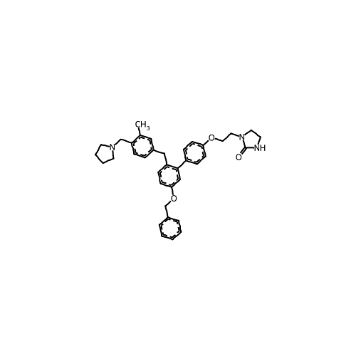 Cc1cc(Cc2ccc(OCc3ccccc3)cc2-c2ccc(OCCN3CCNC3=O)cc2)ccc1CN1CCCC1